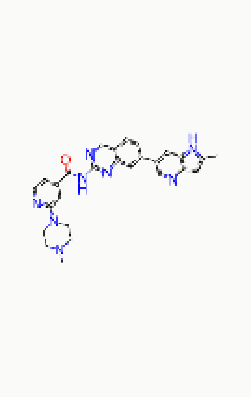 Cc1cc2ncc(-c3ccc4cnc(NC(=O)c5ccnc(N6CCN(C)CC6)c5)nc4c3)cc2[nH]1